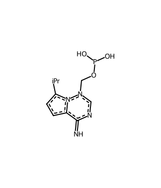 CC(C)c1ccc2c(=N)ncn(COP(O)O)n12